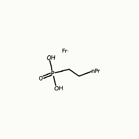 CCCCCP(=O)(O)O.[Fr]